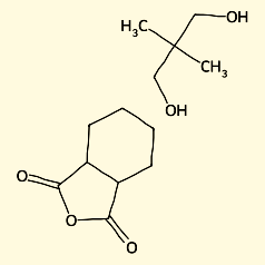 CC(C)(CO)CO.O=C1OC(=O)C2CCCCC12